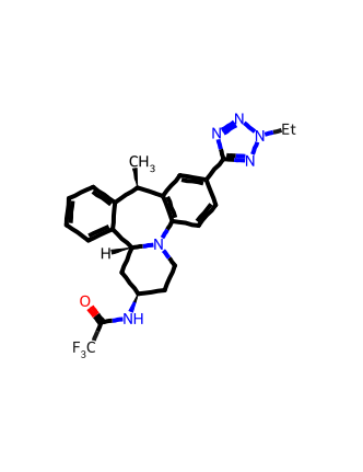 CCn1nnc(-c2ccc3c(c2)[C@H](C)c2ccccc2[C@H]2C[C@H](NC(=O)C(F)(F)F)CCN32)n1